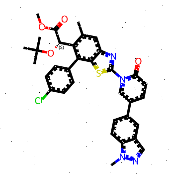 COC(=O)[C@@H](OC(C)(C)C)c1c(C)cc2nc(-n3cc(-c4ccc5c(cnn5C)c4)ccc3=O)sc2c1-c1ccc(Cl)cc1